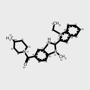 CCn1c(C2Nc3cc(C(=O)N4CCC(C)CC4)ccc3N2C)cc2ccccc21